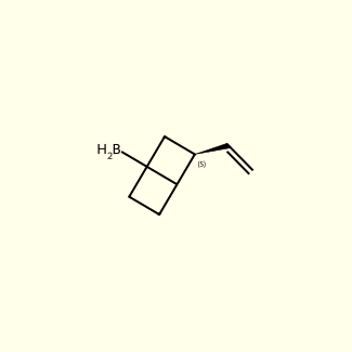 BC12CCC1[C@H](C=C)C2